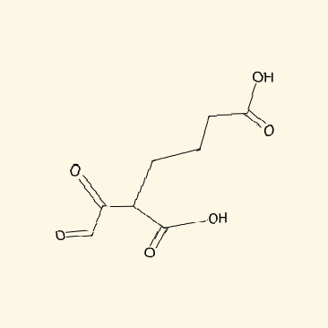 O=CC(=O)C(CCCC(=O)O)C(=O)O